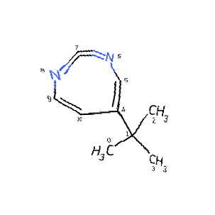 CC(C)(C)C1=CN=C=NC=C1